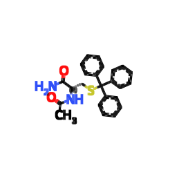 CC(=O)N[C@@H](CSC(c1ccccc1)(c1ccccc1)c1ccccc1)C(N)=O